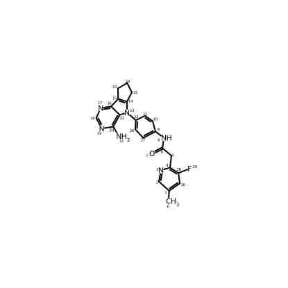 Cc1cnc(CC(=O)Nc2ccc(-n3c4c(c5ncnc(N)c53)CCC4)cc2)c(F)c1